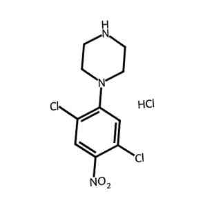 Cl.O=[N+]([O-])c1cc(Cl)c(N2CCNCC2)cc1Cl